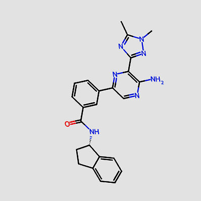 Cc1nc(-c2nc(-c3cccc(C(=O)N[C@H]4CCc5ccccc54)c3)cnc2N)nn1C